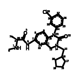 CN[C@@H](C)C(=O)Nc1ccc2c(n1)CN(CC1CCCC1)C(=O)N2c1cccc(Cl)c1